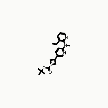 CCc1cccnc1N(C)c1ccc(C2CN(C(=O)OC(C)(C)C)C2)cn1